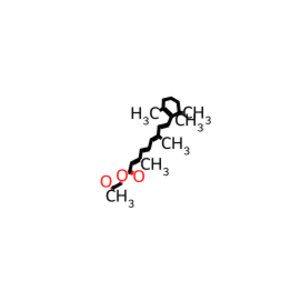 CC(=O)COC(=O)/C=C(C)/C=C/C=C(C)/C=C/C1=C(C)CCCC1(C)C